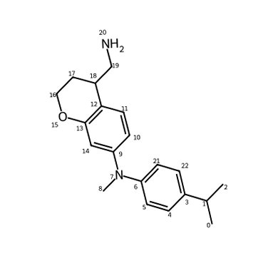 CC(C)c1ccc(N(C)c2ccc3c(c2)OCCC3CN)cc1